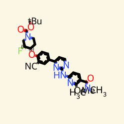 COc1nc(Nc2nccc(-c3ccc(O[C@H]4CCN(C(=O)OC(C)(C)C)C[C@H]4F)c(C#N)c3)n2)ccc1C(=O)N(C)C